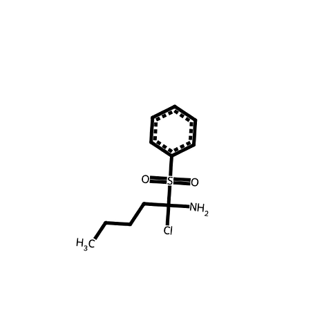 CCCCC(N)(Cl)S(=O)(=O)c1ccccc1